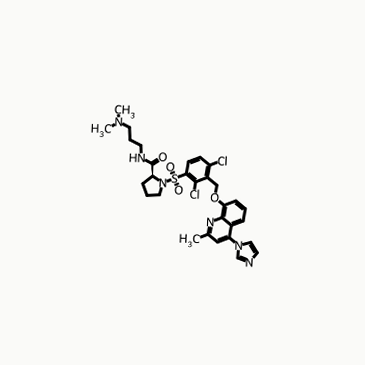 Cc1cc(-n2ccnc2)c2cccc(OCc3c(Cl)ccc(S(=O)(=O)N4CCC[C@H]4C(=O)NCCCN(C)C)c3Cl)c2n1